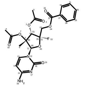 CC(=O)O[C@H]1[C@@](C)(OC(C)=O)[C@H](n2ccc(N)nc2=O)O[C@]1(F)COC(=O)c1ccccc1